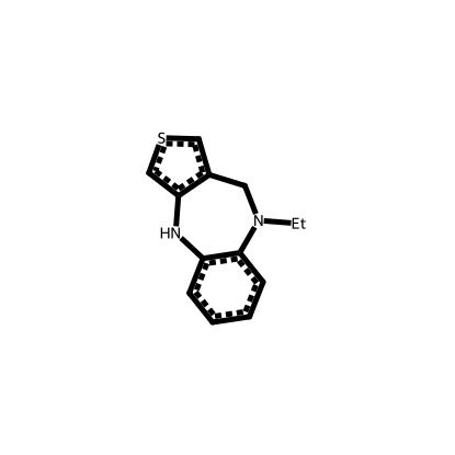 CCN1Cc2cscc2Nc2ccccc21